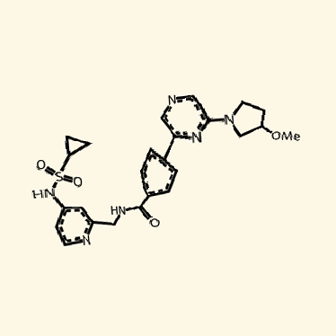 COC1CCN(c2cncc(-c3ccc(C(=O)NCc4cc(NS(=O)(=O)C5CC5)ccn4)cc3)n2)C1